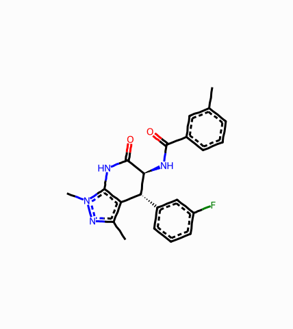 Cc1cccc(C(=O)N[C@@H]2C(=O)Nc3c(c(C)nn3C)[C@H]2c2cccc(F)c2)c1